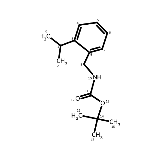 CC(C)c1ccccc1CNC(=O)OC(C)(C)C